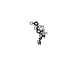 O=C(C(O)c1cccc(Cl)c1)N1CCc2nc(C3(c4cc(-c5cncs5)cs4)CC3)[nH]c(=O)c2C1